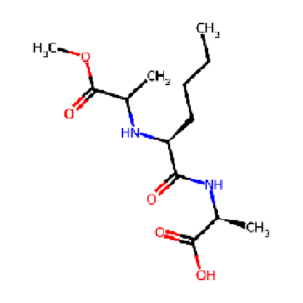 CCCC[C@H](NC(C)C(=O)OC)C(=O)N[C@@H](C)C(=O)O